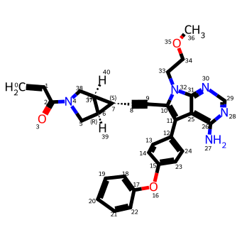 C=CC(=O)N1C[C@@H]2[C@@H](C#Cc3c(-c4ccc(Oc5ccccc5)cc4)c4c(N)ncnc4n3CCOC)[C@@H]2C1